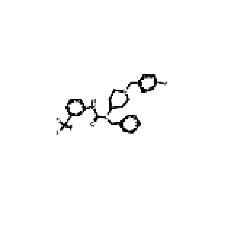 O=C(Nc1cccc(C(F)(F)F)c1)N(Cc1ccccc1)C1CCN(Cc2ccc(F)cc2)CC1